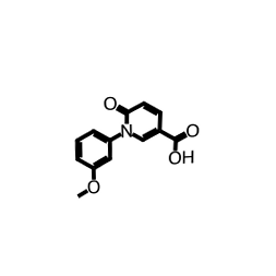 COc1cccc(-n2cc(C(=O)O)ccc2=O)c1